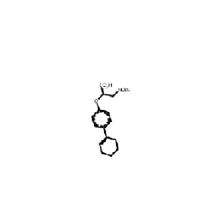 CCCCCCCCCCCC(Oc1ccc(C2=CCCCC2)cc1)C(=O)O